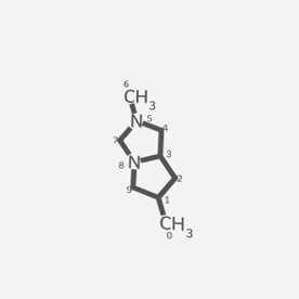 CC1CC2CN(C)CN2C1